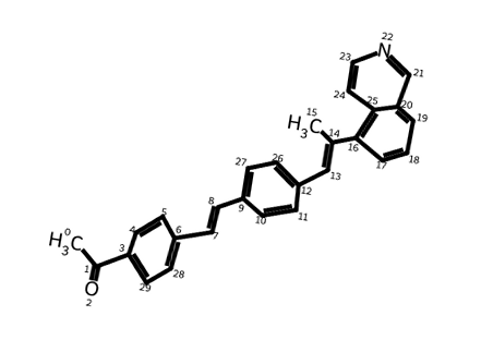 CC(=O)c1ccc(/C=C/c2ccc(/C=C(\C)c3cccc4cnccc34)cc2)cc1